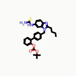 CCCCc1nc2ccc(NC(N)=S)cc2n1Cc1ccc(-c2ccccc2OC(=O)OC(C)(C)C)cc1